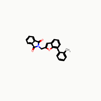 Cc1ccccc1-c1cccc2cc(CN3C(=O)c4ccccc4C3=O)oc12